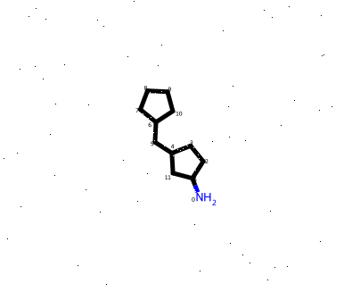 NC1CCC(CC2CCCC2)C1